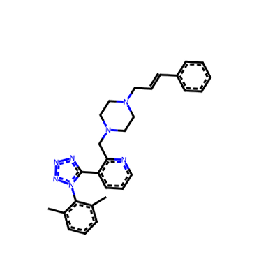 Cc1cccc(C)c1-n1nnnc1-c1cccnc1CN1CCN(CC=Cc2ccccc2)CC1